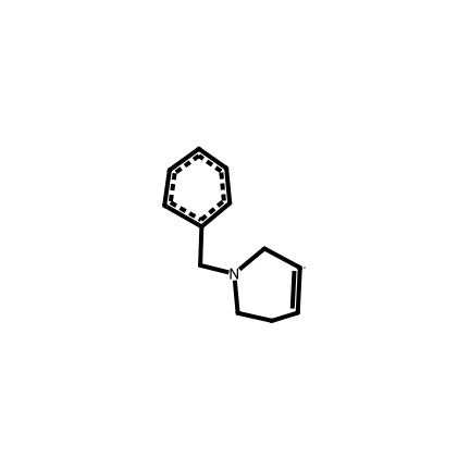 [C]1=CCCN(Cc2ccccc2)C1